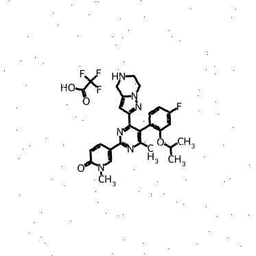 Cc1nc(-c2ccc(=O)n(C)c2)nc(-c2cc3n(n2)CCNC3)c1-c1ccc(F)cc1OC(C)C.O=C(O)C(F)(F)F